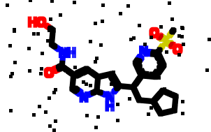 CS(=O)(=O)c1ccc(C(CC2CCCC2)C2=CC3C=C(C(=O)NCCO)C=NC3N2)cn1